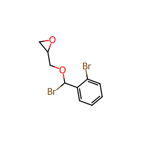 Brc1ccccc1C(Br)OCC1CO1